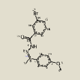 COc1ccc(/C(C)=N\NC(=O)c2cccc(Br)c2)cc1